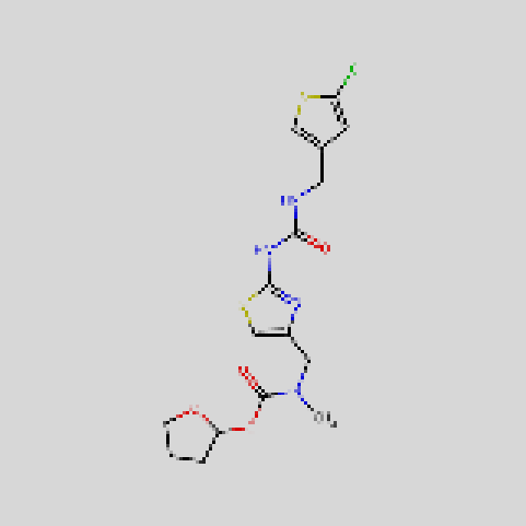 CN(Cc1csc(NC(=O)NCc2csc(Cl)c2)n1)C(=O)OC1CCCO1